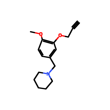 C#CCOc1cc(CN2CCCCC2)ccc1OC